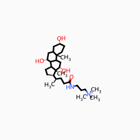 C[C@H](CCC(=O)NCCC[N+](C)(C)C)[C@H]1CCC2C3C(C[C@H](O)[C@@]21C)[C@@]1(C)CC[C@@H](O)CC1C[C@H]3O